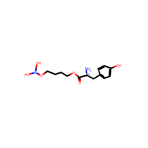 N[C@@H](Cc1ccc(O)cc1)C(=O)OCCCCON(O)O